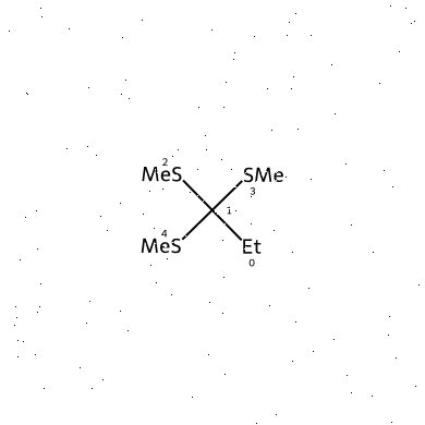 CCC(SC)(SC)SC